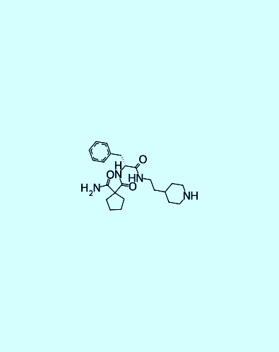 NC(=O)C1(C(=O)N[C@H](Cc2ccccc2)C(=O)NCCC2CCNCC2)CCCC1